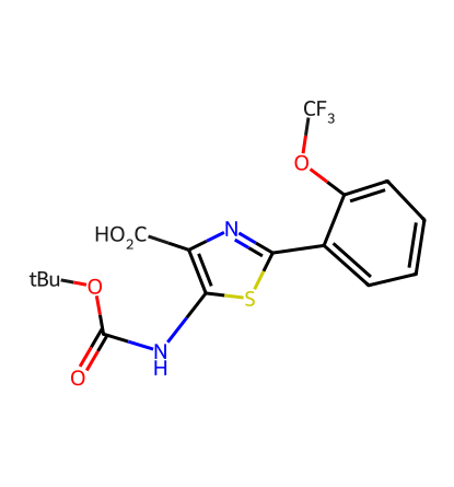 CC(C)(C)OC(=O)Nc1sc(-c2ccccc2OC(F)(F)F)nc1C(=O)O